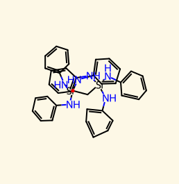 c1ccc(N[Si](C[Si](Nc2ccccc2)(Nc2ccccc2)Nc2ccccc2)(Nc2ccccc2)Nc2ccccc2)cc1